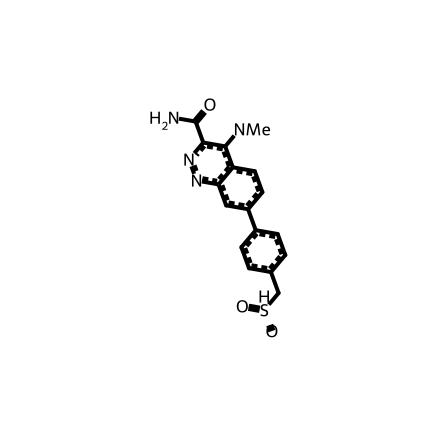 CNc1c(C(N)=O)nnc2cc(-c3ccc(C[SH](=O)=O)cc3)ccc12